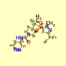 Cn1nc(C(F)F)cc1S(=O)(=O)C(C)(F)C1CCN(C(=O)Nc2ccnnc2)CC1